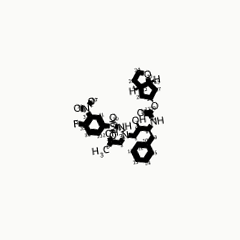 CC(C)CN(C[C@@H](O)[C@H](Cc1ccccc1)NC(=O)O[C@@H]1C[C@@H]2CCO[C@@H]2C1)NS(=O)(=O)c1ccc(F)c([N+](=O)[O-])c1